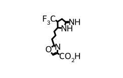 N=C1CC(C(F)(F)F)C(CCCc2nc(C(=O)O)co2)N1